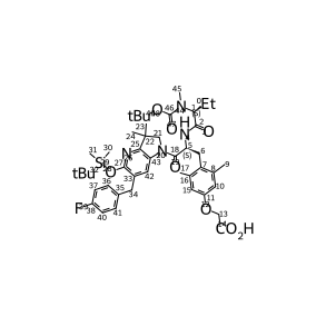 CC[C@@H](C(=O)N[C@@H](Cc1c(C)cc(OCC(=O)O)cc1C)C(=O)N1CC(C)(C)c2nc(O[Si](C)(C)C(C)(C)C)c(Cc3ccc(F)cc3)cc21)N(C)C(=O)OC(C)(C)C